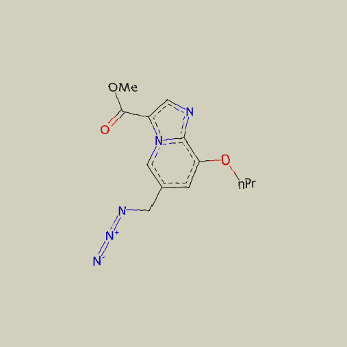 CCCOc1cc(CN=[N+]=[N-])cn2c(C(=O)OC)cnc12